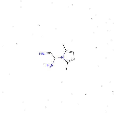 Cc1ccc(C)n1C(N)C=N